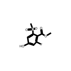 COC(=O)c1c(F)cc(O)cc1S(C)(=O)=O